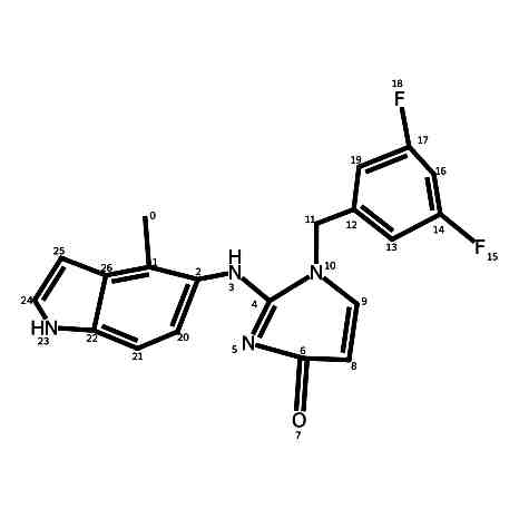 Cc1c(Nc2nc(=O)ccn2Cc2cc(F)cc(F)c2)ccc2[nH]ccc12